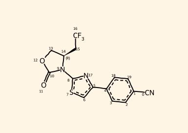 N#Cc1ccc(-c2csc(N3C(=O)OC[C@H]3CC(F)(F)F)n2)cc1